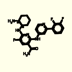 NC(=O)c1cc(F)c(N[C@@H]2CCCC[C@@H]2N)nc1Nc1ccnc(-c2cccc(F)c2F)c1